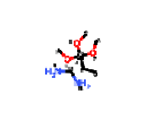 CC[Si](OC)(OC)OC.NCN